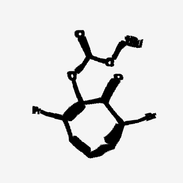 CC(C)c1cccc(Br)c(=O)c1OC(=O)OC(C)(C)C